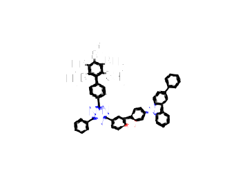 Bc1c(B)c(B)c(-c2ccc(-c3nc(-c4ccccc4)nc(-c4ccc5oc6cc(-n7c8ccccc8c8cc(-c9ccccc9)ccc87)ccc6c5c4)n3)cc2)c(B)c1B